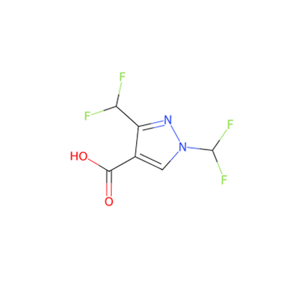 O=C(O)c1cn(C(F)F)nc1C(F)F